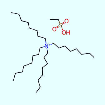 CCCCCCCC[N+](CCCCCCCC)(CCCCCCCC)CCCCCCCC.CCS(=O)(=O)O